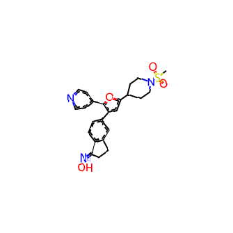 CS(=O)(=O)N1CCC(c2cc(-c3ccc4c(c3)CC/C4=N\O)c(-c3ccncc3)o2)CC1